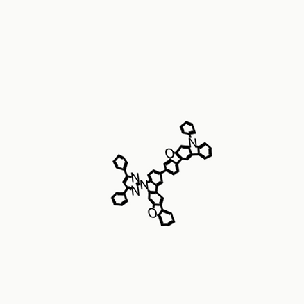 c1ccc(-c2cc(-c3ccccc3)nc(-n3c4ccc(-c5ccc6c(c5)oc5cc7c(cc56)c5ccccc5n7-c5ccccc5)cc4c4cc5c(cc43)oc3ccccc35)n2)cc1